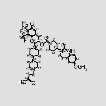 COc1ccc2c(c1)CCN(C1CCN(C(=O)O[C@H](Cc3cc(Cl)c(N)c(C(F)(F)F)c3)C(=O)N3CCC(N4CCN(CCC(=O)O)CC4)CC3)CC1)C(=O)N2